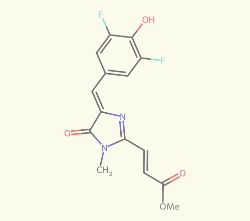 COC(=O)C=CC1=N/C(=C\c2cc(F)c(O)c(F)c2)C(=O)N1C